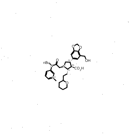 CCCCN(C(=O)CN1C[C@H](c2cc(CO)c3c(c2)OCO3)[C@@H](C(=O)O)[C@@H]1CCC1CCCCO1)c1ccc[n+](C)c1